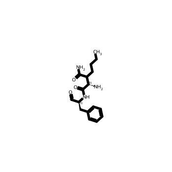 CCCCC(C(N)=O)[C@H](N)C(=O)N[C@H]([C]=O)Cc1ccccc1